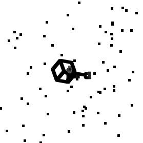 CCCC[C@H]1C2C=C(Cl)CC1C2